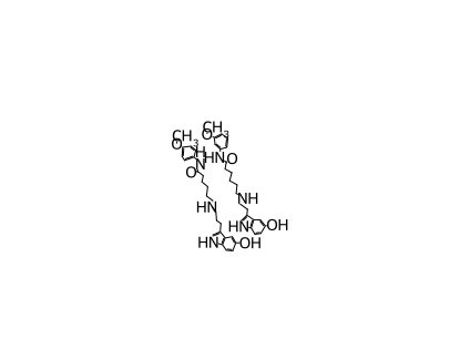 COc1ccc(NC(=O)CCCCCNCCCc2c[nH]c3ccc(O)cc23)cc1.COc1cccc(NC(=O)CCCCCNCCc2c[nH]c3ccc(O)cc23)c1